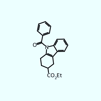 CCOC(=O)C1CCc2c(c3ccccc3n2C(=O)c2ccccc2)C1